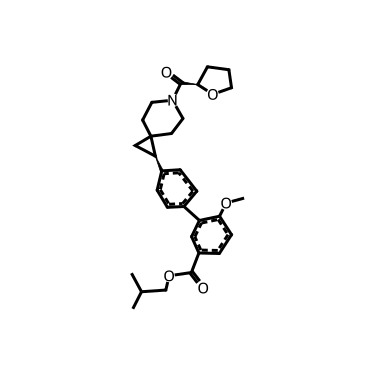 COc1ccc(C(=O)OCC(C)C)cc1-c1ccc([C@H]2CC23CCN(C(=O)[C@H]2CCCO2)CC3)cc1